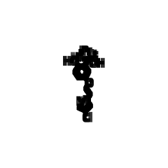 CCC(O)(NC(C)C)c1cc(OCCn2cc(Cl)cn2)ccc1O